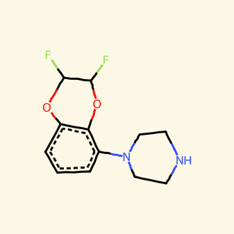 FC1Oc2cccc(N3CCNCC3)c2OC1F